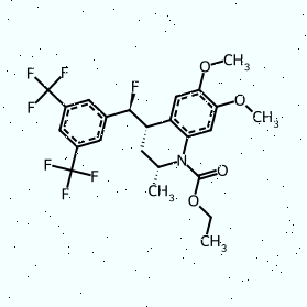 CCOC(=O)N1c2cc(OC)c(OC)cc2[C@@H]([C@H](F)c2cc(C(F)(F)F)cc(C(F)(F)F)c2)C[C@H]1C